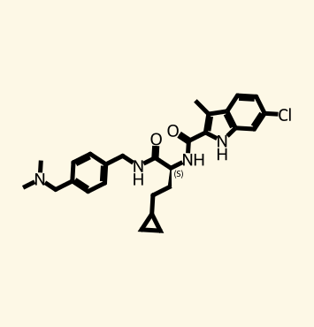 Cc1c(C(=O)N[C@@H](CCC2CC2)C(=O)NCc2ccc(CN(C)C)cc2)[nH]c2cc(Cl)ccc12